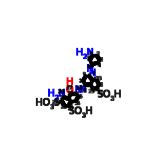 Nc1cccc(/N=N/c2ccc(/N=N/c3ccc4c(S(=O)(=O)O)cc(S(=O)(=O)O)c(N)c4c3O)c3cc(S(=O)(=O)O)ccc23)c1